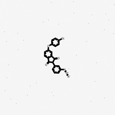 CCc1ccc(Oc2ccc3c(c2)C(=O)C(c2cccc(N=[N+]=[N-])c2)C3=O)cc1